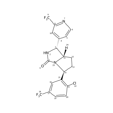 O=C1N[C@H](c2ccnc(C(F)(F)F)c2)[C@@H]2CC[C@@H](c3cc(C(F)(F)F)ccc3Cl)N12